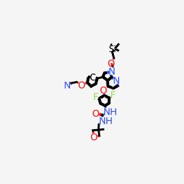 CC1(CNC(=O)Nc2cc(F)c(Oc3ccnc4c3c(-c3ccc(OCC#N)cc3)cn4COCC[Si](C)(C)C)c(F)c2)COC1